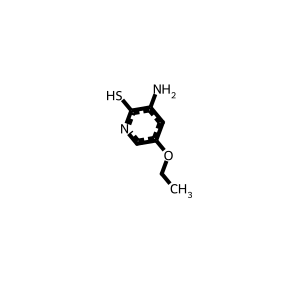 CCOc1cnc(S)c(N)c1